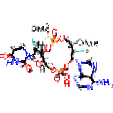 COS[P@]1(=O)OC[C@@H](OC)[C@@H](F)[C@H](n2cnc3c(N)ncnc32)OP(=O)(O)OC[C@H]2O[C@@H](n3ccc(=O)[nH]c3=O)[C@H](F)[C@@H]2O1